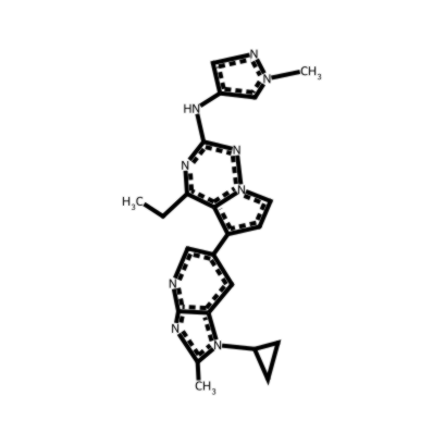 CCc1nc(Nc2cnn(C)c2)nn2ccc(-c3cnc4nc(C)n(C5CC5)c4c3)c12